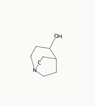 OC1CCN2CCC1CC2